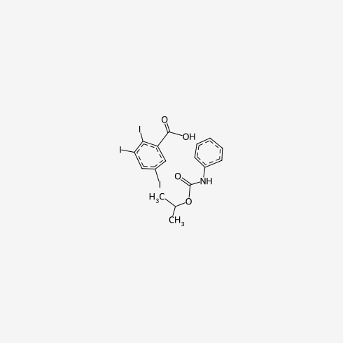 CC(C)OC(=O)Nc1ccccc1.O=C(O)c1cc(I)cc(I)c1I